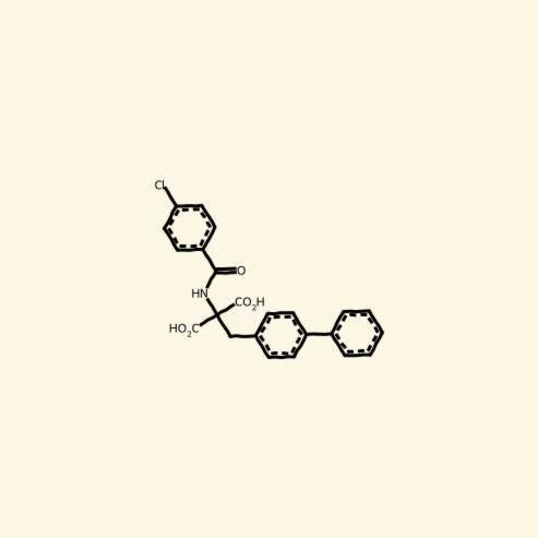 O=C(NC(Cc1ccc(-c2ccccc2)cc1)(C(=O)O)C(=O)O)c1ccc(Cl)cc1